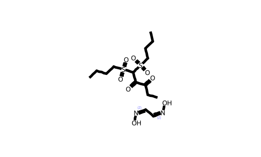 CCCCS(=O)(=O)C(C(=O)C(=O)CC)S(=O)(=O)CCCC.O/N=C\C=N/O